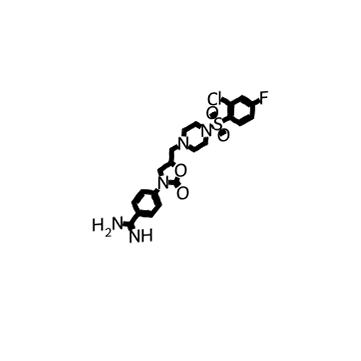 N=C(N)c1ccc(N2CC(CN3CCN(S(=O)(=O)c4ccc(F)cc4Cl)CC3)OC2=O)cc1